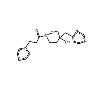 O=C(CCc1ccccc1)N1CCC(O)(Cc2ccncn2)CC1